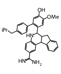 COc1cc(C2Nc3ccc(C(=N)N)cc3C3c4ccccc4CC23)c(-c2ccc(CC(C)C)cc2)cc1O